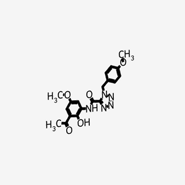 COc1ccc(Cn2nnnc2C(=O)Nc2cc(OC)cc(C(C)=O)c2O)cc1